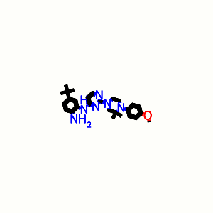 COc1ccc(N2CCN(c3nccc(Nc4cc(C(C)(C)C)ccc4N)n3)CC2(C)C)cc1